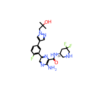 CC(C)(O)Cn1cc(-c2ccc(F)c(-c3cnc(N)c(C(=O)N[C@@H]4CNCC(F)(F)C4)n3)c2)cn1